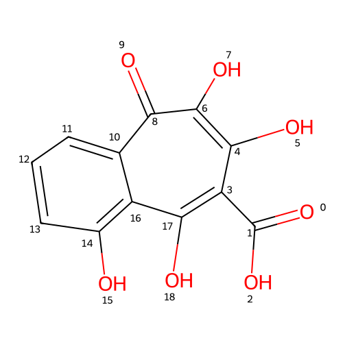 O=C(O)c1c(O)c(O)c(=O)c2cccc(O)c2c1O